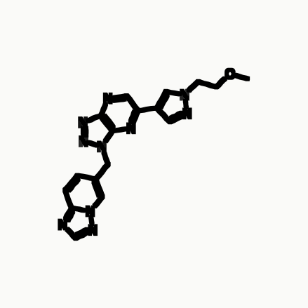 COCCn1cc(-c2cnc3nnn(Cc4ccc5ncnn5c4)c3n2)cn1